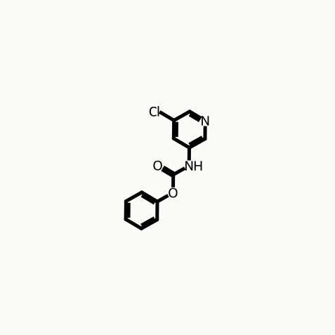 O=C(Nc1cncc(Cl)c1)Oc1ccccc1